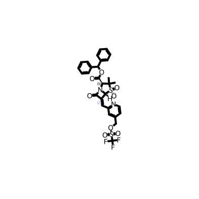 CC1(C)[C@H](C(=O)OC(c2ccccc2)c2ccccc2)N2C(=O)/C(=C/c3cc(COS(=O)(=O)C(F)(F)F)ccn3)[C@H]2S1(=O)=O